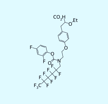 CCOC(Cc1ccc(OCCN(CC(F)(F)C(F)(F)C(F)(F)C(F)(F)C(F)(F)F)C(=O)Oc2ccc(F)cc2F)cc1)C(=O)O